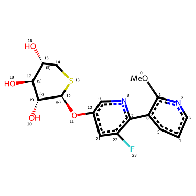 COc1ncccc1-c1ncc(O[C@@H]2SC[C@@H](O)[C@H](O)[C@H]2O)cc1F